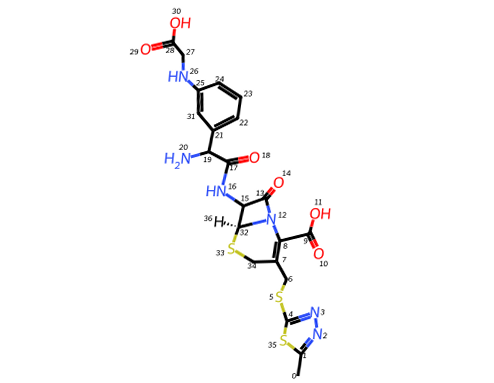 Cc1nnc(SCC2=C(C(=O)O)N3C(=O)C(NC(=O)C(N)c4cccc(NCC(=O)O)c4)[C@@H]3SC2)s1